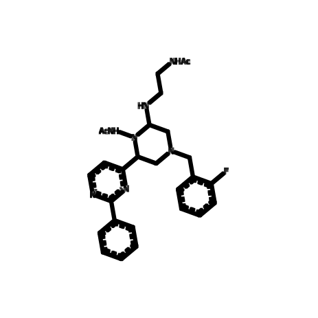 CC(=O)NCCNC1CN(Cc2ccccc2F)CC(c2ccnc(-c3ccccc3)n2)N1NC(C)=O